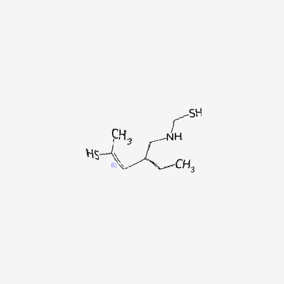 CCC(/C=C(\C)S)CNCS